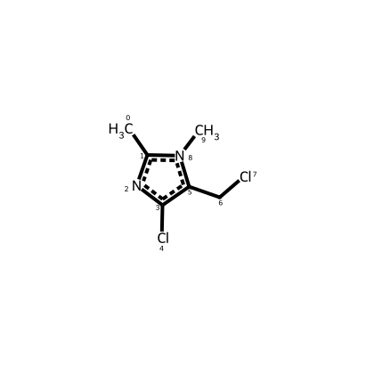 Cc1nc(Cl)c(CCl)n1C